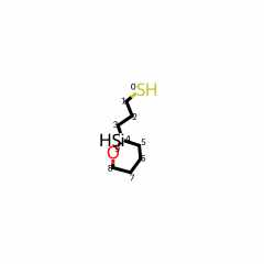 SCCC[SiH]1CCCCO1